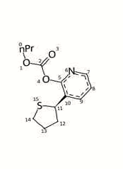 CCCOC(=O)Oc1ncccc1[C@H]1CCCS1